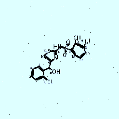 CCc1ccccc1C(O)c1csc(NS(=O)(=O)c2cccc(Cl)c2C)n1